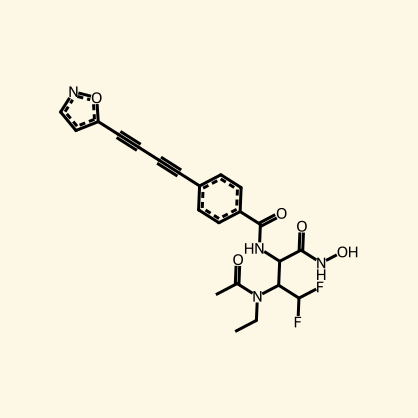 CCN(C(C)=O)C(C(F)F)C(NC(=O)c1ccc(C#CC#Cc2ccno2)cc1)C(=O)NO